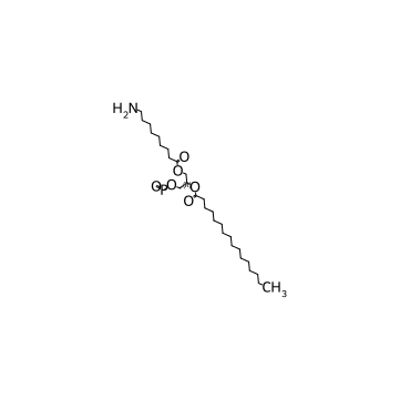 CCCCCCCCCCCCCCCC(=O)O[C@@H](COP=O)COC(=O)CCCCCCCCN